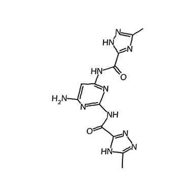 Cc1n[nH]c(C(=O)Nc2cc(N)nc(NC(=O)c3nnc(C)[nH]3)n2)n1